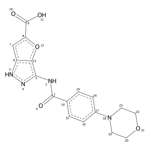 O=C(Nc1n[nH]c2cc(C(=O)O)oc12)c1ccc(N2CCOCC2)cc1